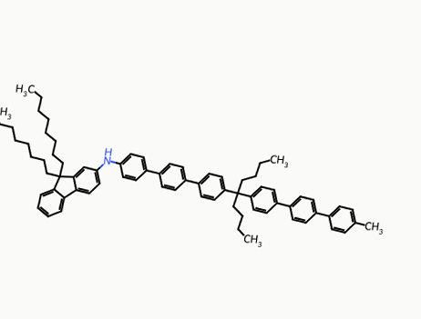 CCCCCCCCC1(CCCCCCCC)c2ccccc2-c2ccc(Nc3ccc(-c4ccc(-c5ccc(C(CCCC)(CCCC)c6ccc(-c7ccc(-c8ccc(C)cc8)cc7)cc6)cc5)cc4)cc3)cc21